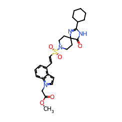 COC(=O)Cn1ccc2c(/C=C/S(=O)(=O)N3CCC4(CC3)N=C(C3CCCCC3)NC4=O)cccc21